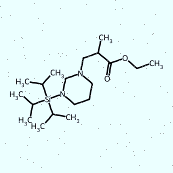 CCOC(=O)C(C)CN1CCCN([Si](C(C)C)(C(C)C)C(C)C)C1